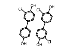 Oc1ccc(-c2ccc(O)c(Cl)c2)cc1.Oc1ccc(-c2ccc(O)c(Cl)c2)cc1Cl